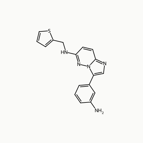 Nc1cccc(-c2cnc3ccc(NCc4cccs4)nn23)c1